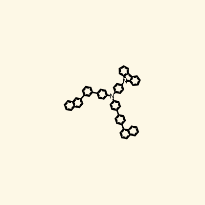 c1cc(-c2ccc(N(c3ccc(-c4ccc(-c5cccc6ccccc56)cc4)cc3)c3ccc(-n4c5ccccc5c5ccccc54)cc3)cc2)cc(-c2ccc3ccccc3c2)c1